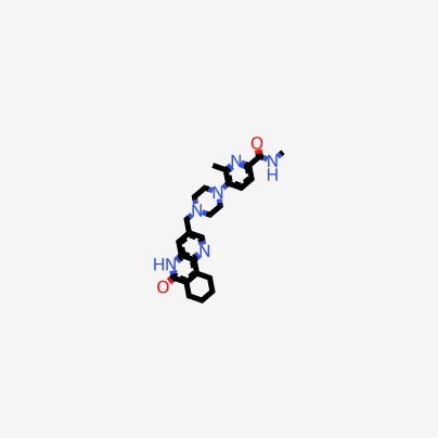 CNC(=O)c1ccc(N2CCN(Cc3cnc4c5c(c(=O)[nH]c4c3)CCCC5)CC2)c(C)n1